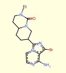 CCN1CCC2CCC(c3nc(Br)c4c(N)nccn34)CN2C1=O